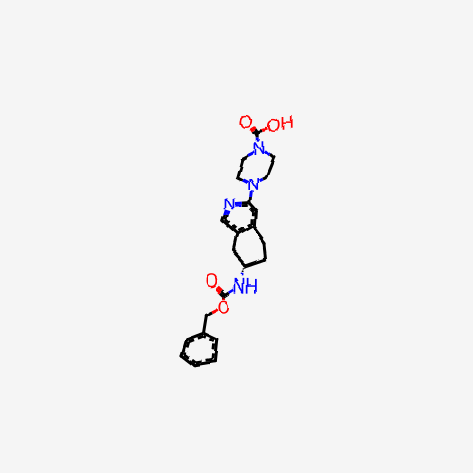 O=C(N[C@H]1CCc2cc(N3CCN(C(=O)O)CC3)ncc2C1)OCc1ccccc1